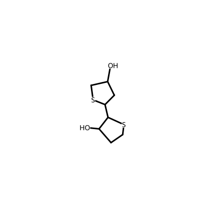 OC1CSC(C2SCCC2O)C1